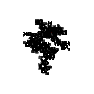 COc1ccc(C[C@H](NC(=O)[C@H](C)NC(=O)[C@H](CC(C)C)NC(=O)c2oc3c(OC)c(OC)ccc3c2C)C(=O)N2CCC[C@H]2C(=O)N[C@@H](CC(=O)O)C(=O)N[C@@H](C)C(=O)N[C@H](C(=O)N2C[C@H](O)C[C@H]2C(=O)N[C@@H](Cc2ccc(Cl)cc2)C(=O)N[C@@H](CCCNC(=N)N)C(=O)N2CCC[C@H]2C(N)=O)C(C)C)cc1